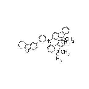 CC1(C)c2ccccc2-c2ccc(N(c3cccc(-c4ccc5oc6c(c5c4)C=CCC6)c3)c3cccc4c3-c3ccccc3C4(C)C)cc21